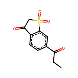 CCC(=O)c1ccc2c(c1)S(=O)(=O)CC2=O